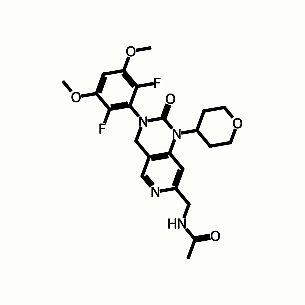 COc1cc(OC)c(F)c(N2Cc3cnc(CNC(C)=O)cc3N(C3CCOCC3)C2=O)c1F